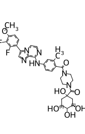 COc1ccc(-c2cnc3c(Nc4ccc(C(=O)N5CCN(C(=O)C6(O)C[C@@H](O)C(O)[C@H](O)C6)CC5)c(C)c4)nccn23)c(F)c1F